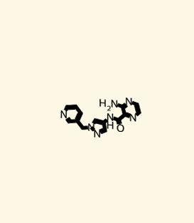 Nc1nccnc1C(=O)Nc1cnn(Cc2cccnc2)c1